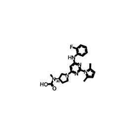 Cc1ccc(C)n1-c1nc(Nc2ccccc2F)cc(N2CC[C@@H](N(C)C(=O)O)C2)n1